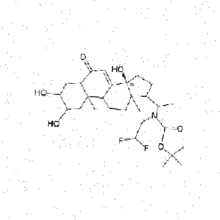 CC(C1CC[C@@]2(O)C3=CC(=O)C4CC(O)C(O)CC4(C)C3CCC12C)N(CC(F)F)C(=O)OC(C)(C)C